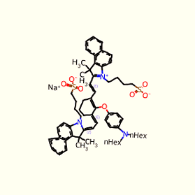 CCCCCCN(CCCCCC)c1ccc(OC2=C(/C=C/C3=[N+](CCCCS(=O)(=O)[O-])c4ccc5ccccc5c4C3(C)C)CCC/C2=C\C=C2/N(CCCCS(=O)(=O)[O-])c3ccc4ccccc4c3C2(C)C)cc1.[Na+]